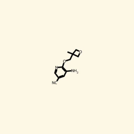 CC1(COc2ncc(C#N)cc2N)COC1